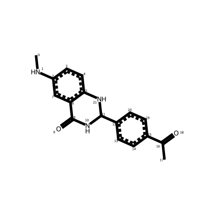 CNc1ccc2c(c1)C(=O)NC(c1ccc(C(C)=O)cc1)N2